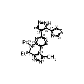 CCC1c2nnc(C)n2-c2cnc(-c3cn[nH]c3-c3cscn3)nc2N1C(C)C